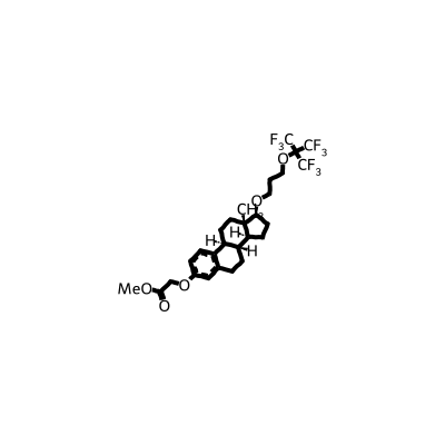 COC(=O)COc1ccc2c(c1)CC[C@@H]1[C@@H]2CC[C@]2(C)[C@@H](OCCCOC(C(F)(F)F)(C(F)(F)F)C(F)(F)F)CC[C@@H]12